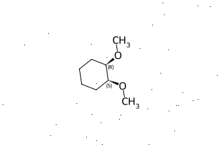 CO[C@H]1CCCC[C@H]1OC